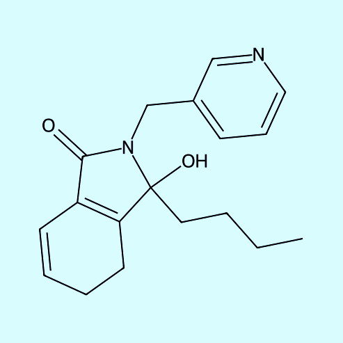 CCCCC1(O)C2=C(C=CCC2)C(=O)N1Cc1cccnc1